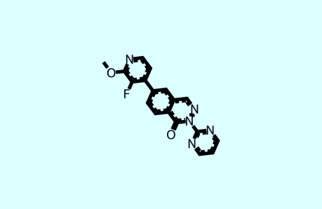 COc1nccc(-c2ccc3c(=O)n(-c4ncccn4)ncc3c2)c1F